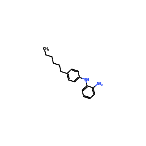 CCCCCCc1ccc(Nc2ccccc2N)cc1